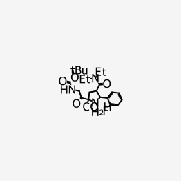 CCN(CC)C(=O)C1CC(C(=O)O)(C(=O)CNC(=O)OC(C)(C)C)NC1c1ccccc1F